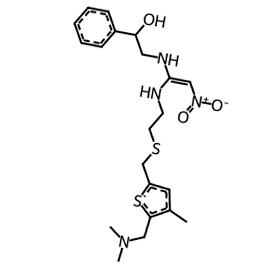 Cc1cc(CSCCNC(=C[N+](=O)[O-])NCC(O)c2ccccc2)sc1CN(C)C